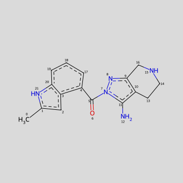 Cc1cc2c(C(=O)n3nc4c(c3N)CCNC4)cccc2[nH]1